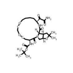 CC(C)(C)OC(=O)N[C@H]1CCOCCOCCCC[C@@H](C(=O)C(N)=O)NC(=O)[C@@H]2[C@H]3CC(C)(C)O[C@H]3CN2C1=O